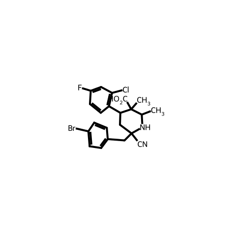 CC1NC(C#N)(Cc2ccc(Br)cc2)CC(c2ccc(F)cc2Cl)C1(C)C(=O)O